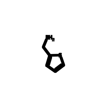 BCc1cccs1